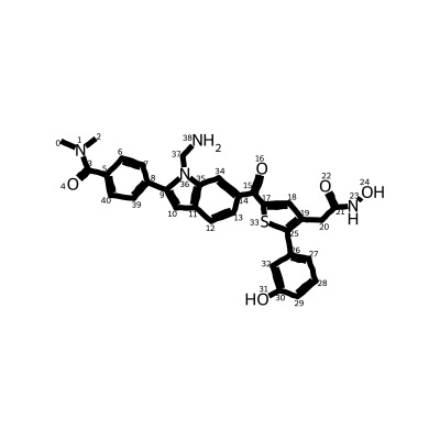 CN(C)C(=O)c1ccc(-c2cc3ccc(C(=O)c4cc(CC(=O)NO)c(-c5cccc(O)c5)s4)cc3n2CN)cc1